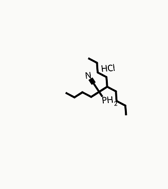 CCCCC(CCCC)C(P)(C#N)CCCC.Cl